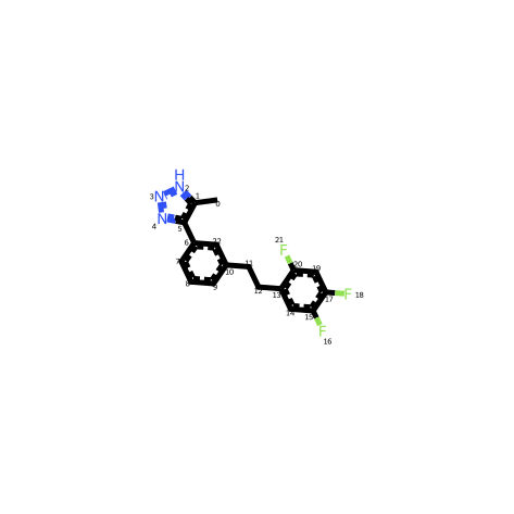 Cc1[nH]nnc1-c1cccc(CCc2cc(F)c(F)cc2F)c1